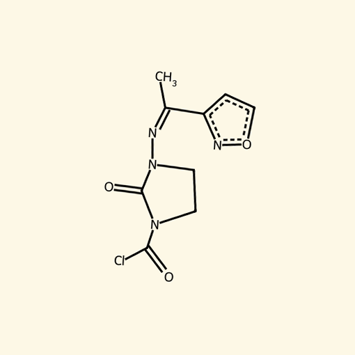 CC(=NN1CCN(C(=O)Cl)C1=O)c1ccon1